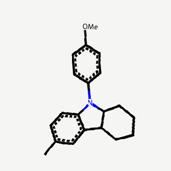 COc1ccc(N2c3ccc(C)cc3C3CCCCC32)cc1